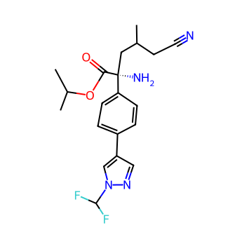 CC(CC#N)C[C@](N)(C(=O)OC(C)C)c1ccc(-c2cnn(C(F)F)c2)cc1